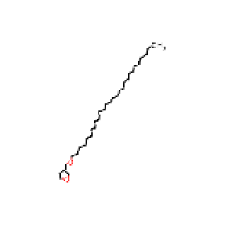 CCCCCCCCCCCCCCCCCCCCCCCCCCCCOCC1CCOC1